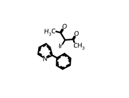 CC(=O)[CH]([Ir])C(C)=O.c1ccc(-c2ccccn2)cc1